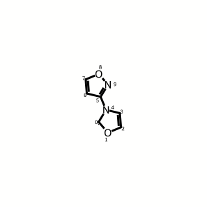 [CH]1OC=CN1c1ccon1